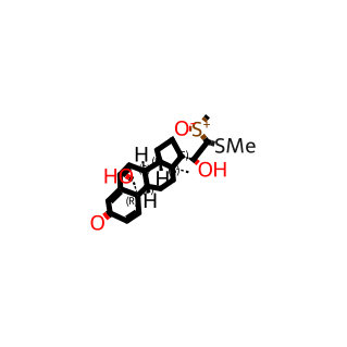 CSC(C(O)[C@H]1CC[C@H]2[C@@H]3C=CC4=CC(=O)C=C[C@]4(CO)[C@H]3CC[C@]12C)[S+](C)[O-]